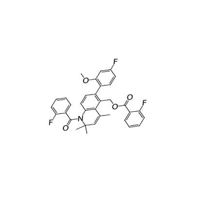 COc1cc(F)ccc1-c1ccc2c(c1COC(=O)c1ccccc1F)C(C)=CC(C)(C)N2C(=O)c1ccccc1F